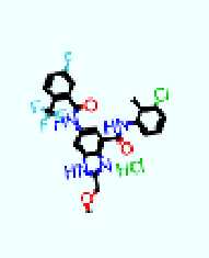 COCc1nc2c(C(=O)Nc3cccc(Cl)c3C)cc(NC(=O)c3cc(F)ccc3C(F)(F)F)cc2[nH]1.Cl